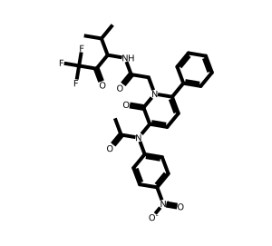 CC(=O)N(c1ccc([N+](=O)[O-])cc1)c1ccc(-c2ccccc2)n(CC(=O)NC(C(=O)C(F)(F)F)C(C)C)c1=O